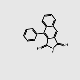 N=C1NC(=N)c2c1cc1ccccc1c2-c1ccccc1